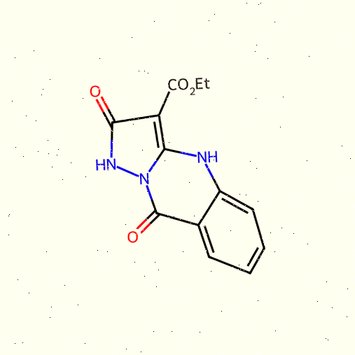 CCOC(=O)c1c(=O)[nH]n2c(=O)c3ccccc3[nH]c12